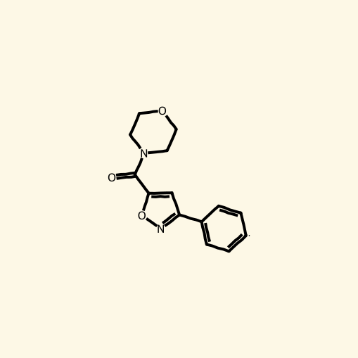 O=C(c1cc(-c2cc[c]cc2)no1)N1CCOCC1